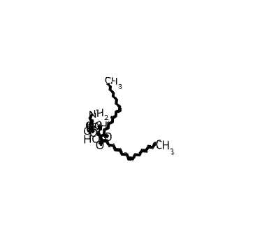 CCCCCCCC/C=C\CCCCCCCC(=O)C(O)(C(=O)CCCCCCC/C=C\CCCCCCCC)[C@H](CO)OP(=O)(O)OCCN